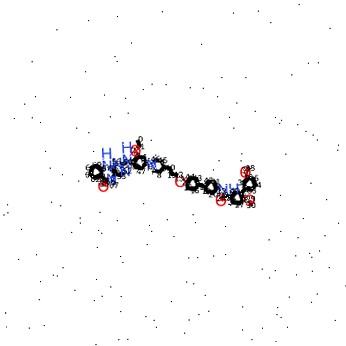 CCOc1cc(N2CCC(CCCOc3ccc(-c4ccc(NC(=O)c5ccc(OC)c(-c6cccc(OC)c6)c5)cc4)cc3)CC2)ccc1Nc1ncc2c(n1)Nc1ccccc1C(=O)N2C